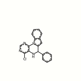 Clc1ncnc2c1NC(c1ccccc1)c1cc3ccccc3n1-2